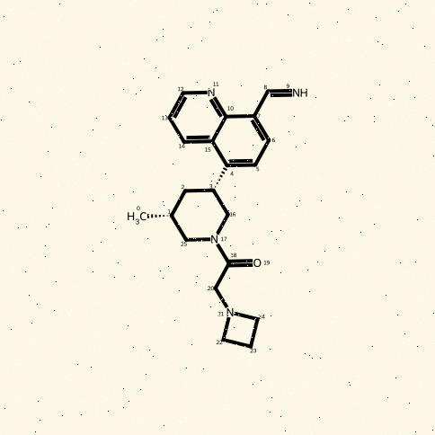 C[C@@H]1C[C@H](c2ccc(C=N)c3ncccc23)CN(C(=O)CN2CCC2)C1